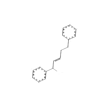 OC(/C=C/CCc1ccccc1)c1ccccc1